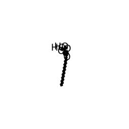 CCCCCCCCCCCCCCCCCCOc1ccc(C(C(=O)O)C(=O)O)cc1